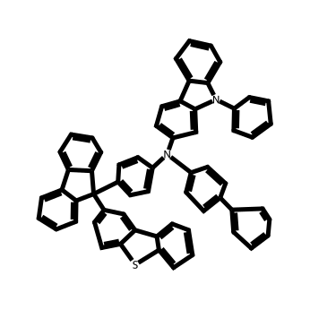 c1ccc(-c2ccc(N(c3ccc(C4(c5ccc6sc7ccccc7c6c5)c5ccccc5-c5ccccc54)cc3)c3ccc4c5ccccc5n(-c5ccccc5)c4c3)cc2)cc1